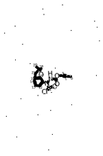 CC#COC(=O)NN(C(=O)Cl)c1cccc2c1OC(C)(C)C2